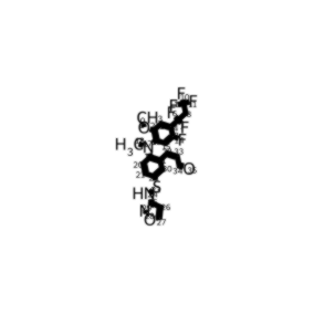 COc1cc(C(F)(F)CC(F)(F)F)c(F)cc1N(C)c1ccc(SNc2ccon2)cc1/C=C\C=O